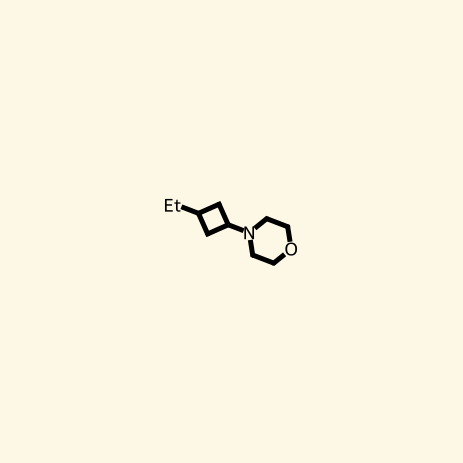 CCC1CC(N2CCOCC2)C1